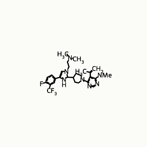 C=C(C)c1c(NC)ncnc1N1CCC(C2NC(c3ccc(F)c(C(F)(F)F)c3)=CN2CCN(C)C)CC1